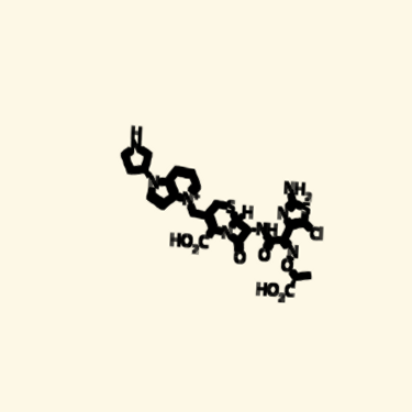 C[C@@H](O/N=C(\C(=O)N[C@@H]1C(=O)N2C(C(=O)O)=C(C[n+]3cccc4c3ccn4[C@H]3CCNC3)CS[C@H]12)c1nc(N)sc1Cl)C(=O)O